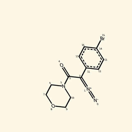 [N-]=[N+]=C(C(=O)N1CCOCC1)c1ccc(Br)cc1